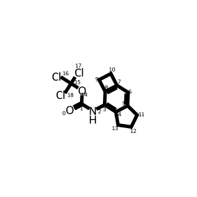 O=C(Nc1c2c(cc3c1CC3)CCC2)OC(Cl)(Cl)Cl